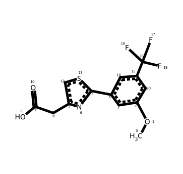 COc1cc(-c2nc(CC(=O)O)cs2)cc(C(F)(F)F)c1